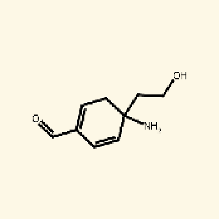 NC1(CCO)C=CC(C=O)=CC1